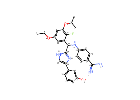 CCOc1cc(OC(C)C)c(F)c(C(Nc2ccc(C(=N)N)cc2)c2nc(-c3cccc(O)c3)c[nH]2)c1